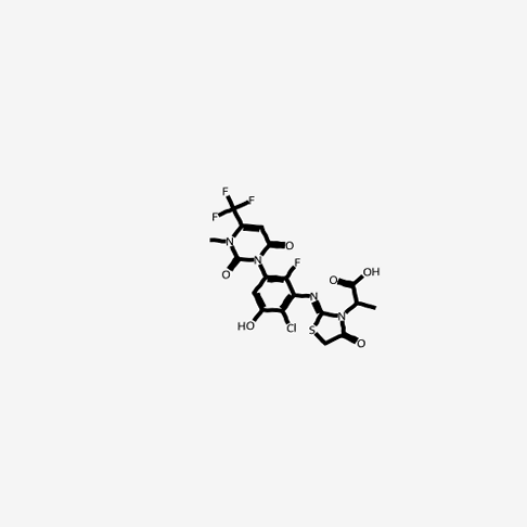 CC(C(=O)O)N1C(=O)CSC1=Nc1c(F)c(-n2c(=O)cc(C(F)(F)F)n(C)c2=O)cc(O)c1Cl